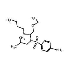 CCCCC[C@@H](COCC)N(CC(C)C)S(=O)(=O)c1ccc(N)cc1